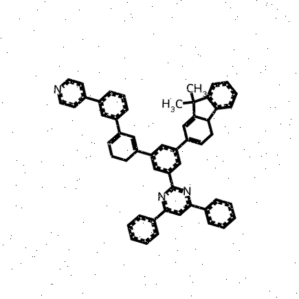 CC1(C)C2=CC(c3cc(C4=CC(c5cccc(-c6ccncc6)c5)=CCC4)cc(-c4nc(-c5ccccc5)cc(-c5ccccc5)n4)c3)=CCC2c2ccccc21